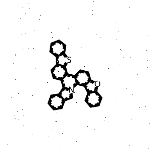 c1ccc2c(c1)cn1c2c2ccc3c4ccccc4sc3c2c2ccc3oc4ccccc4c3c21